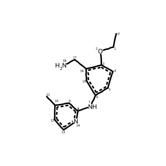 CCOc1ccc(Nc2cc(C)ccn2)cc1CN